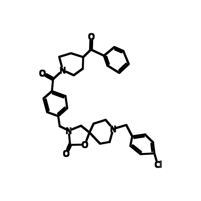 O=C(c1ccccc1)C1CCN(C(=O)c2ccc(CN3CC4(CCN(Cc5ccc(Cl)cc5)CC4)OC3=O)cc2)CC1